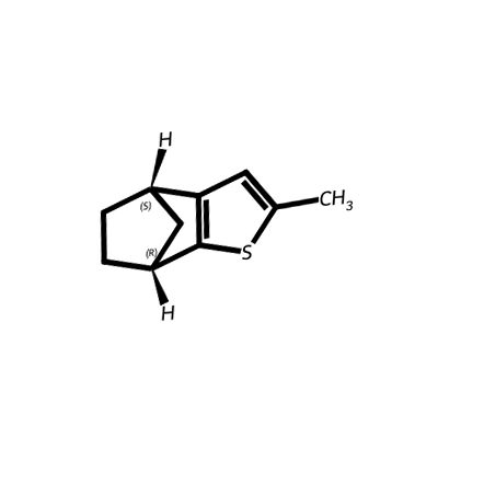 Cc1cc2c(s1)[C@@H]1CC[C@H]2C1